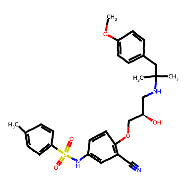 COc1ccc(CC(C)(C)NC[C@@H](O)COc2ccc(NS(=O)(=O)c3ccc(C)cc3)cc2C#N)cc1